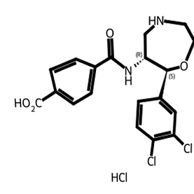 Cl.O=C(O)c1ccc(C(=O)N[C@@H]2CNCCO[C@H]2c2ccc(Cl)c(Cl)c2)cc1